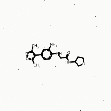 Cc1noc(C)c1-c1ccc(NCC(=O)NC2CCOC2)c(N)c1